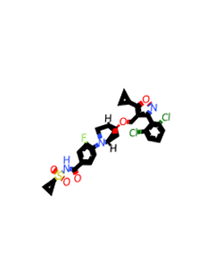 O=C(NS(=O)(=O)C1CC1)c1ccc(N2C[C@H]3C[C@@H]2C[C@@H]3OCc2c(-c3c(Cl)cccc3Cl)noc2C2CC2)c(F)c1